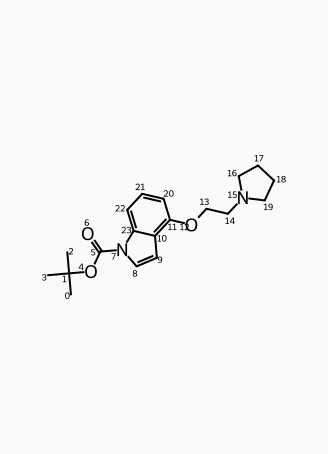 CC(C)(C)OC(=O)n1ccc2c(OCCN3CCCC3)cccc21